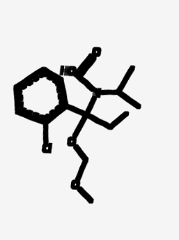 CCC(OCOC)(c1ccccc1Cl)N(C(=O)O)C(C)C